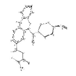 CO[C@H]1CC[C@H](C(=O)N2Cc3cccnc3Nc3ccc(C4=CCN(C)C(=O)C4)cc32)CC1